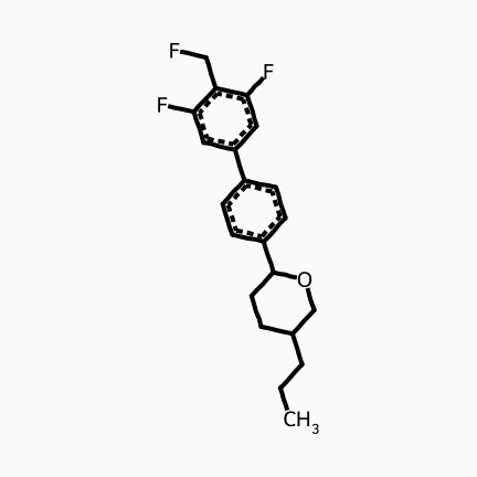 CCCC1CCC(c2ccc(-c3cc(F)c(CF)c(F)c3)cc2)OC1